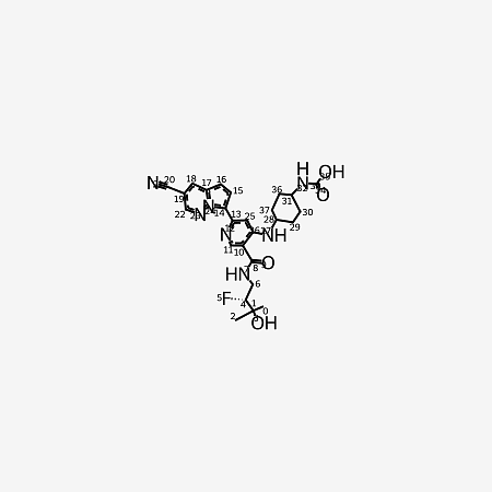 CC(C)(O)[C@H](F)CNC(=O)c1cnc(-c2ccc3cc(C#N)cnn23)cc1NC1CCC(NC(=O)O)CC1